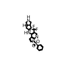 O=S(=O)(c1ccccc1)n1ccc2c(N[C@@H]3CC4CNC[C@H]4C3)c(C(F)(F)F)cnc21